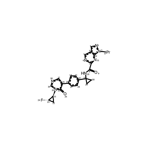 CC(C)n1ncc2cnc(C(=O)NC3(c4ccc(-c5cncn([C@H]6C[C@@H]6F)c5=O)cc4)CC3)nc21